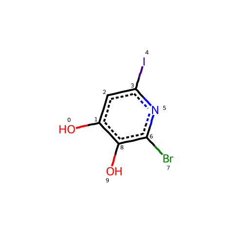 Oc1cc(I)nc(Br)c1O